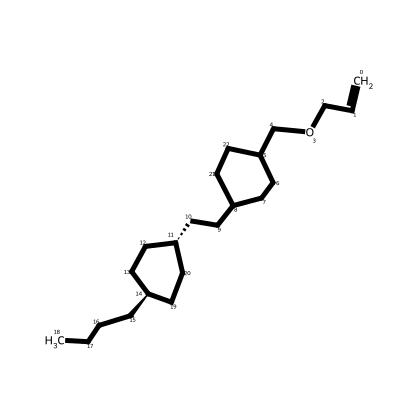 C=CCOCC1CCC(CC[C@H]2CC[C@H](CCCC)CC2)CC1